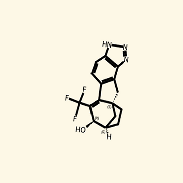 O[C@H]1C(C(F)(F)F)=C2c3ccc4[nH]nnc4c3C[C@@]23CC[C@@H]1C3